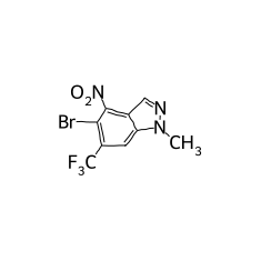 Cn1ncc2c([N+](=O)[O-])c(Br)c(C(F)(F)F)cc21